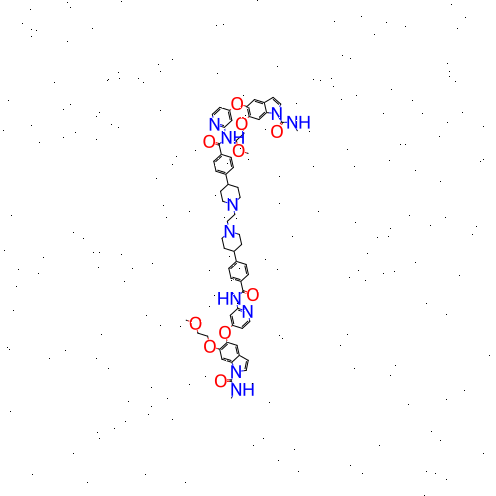 CNC(=O)n1ccc2cc(Oc3ccnc(NC(=O)c4ccc(C5CCN(CCN6CCC(c7ccc(C(=O)Nc8cc(Oc9cc%10ccn(C(=O)NC)c%10cc9OCCOC)ccn8)cc7)CC6)CC5)cc4)c3)c(OCCOC)cc21